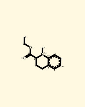 CCOC(=O)C1CCc2ccccc2N1C